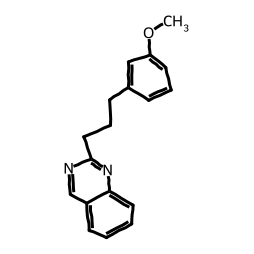 COc1cccc(CCCc2ncc3ccccc3n2)c1